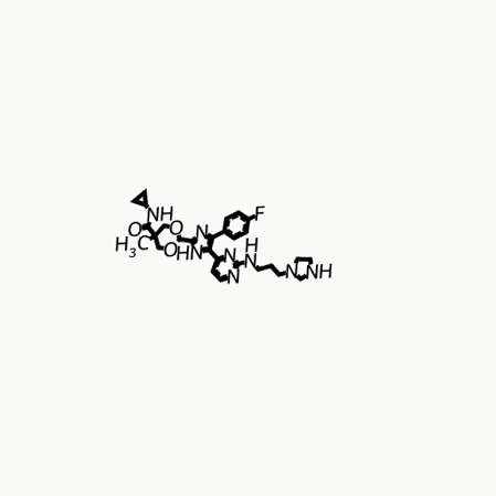 CC1(C(=O)NC2CC2)COC(c2nc(-c3ccc(F)cc3)c(-c3ccnc(NCCCN4CCNC4)n3)[nH]2)OC1